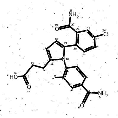 Cc1cc(C(N)=O)ccc1-n1c(CCC(=O)O)ccc1-c1ccc(Cl)cc1C(N)=O